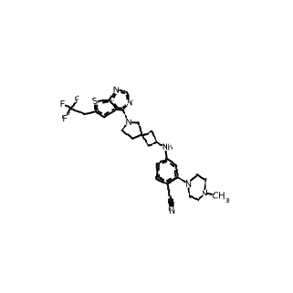 CN1CCN(c2cc(NC3CC4(CCN(c5ncnc6sc(CC(F)(F)F)cc56)C4)C3)ccc2C#N)CC1